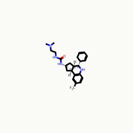 CN(C)CCNC(=O)N[C@@H]1C[C@@H]2[C@H](C1)c1cc(C(F)(F)F)ccc1N[C@H]2C1C=CC=CC1